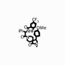 COc1ccc(C2CN(C)C(=O)C23CCN(C(=O)C(NC(=O)c2cc(C(F)(F)F)ccc2F)C(C)C)CC3)cc1